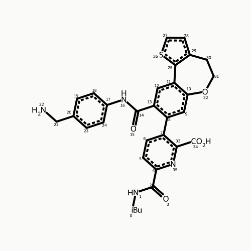 CCC(C)NC(=O)c1ccc(-c2cc3c(cc2C(=O)Nc2ccc(CN)cc2)-c2sccc2CCO3)c(C(=O)O)n1